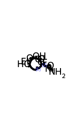 CCC1C(=O)C(C)(C)C(O)CC(=O)OC(/C(F)=C/c2coc(CN)n2)C/C=C(\C)CCCC(C)C1O